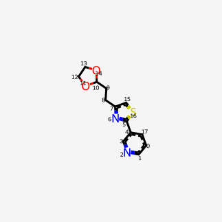 c1cncc(-c2nc(CCC3OCCO3)cs2)c1